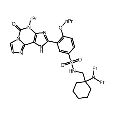 CCCOc1ccc(S(=O)(=O)NCC2(N(CC)CC)CCCCC2)cc1-c1nc2c([nH]1)c1nncn1c(=O)n2CCC